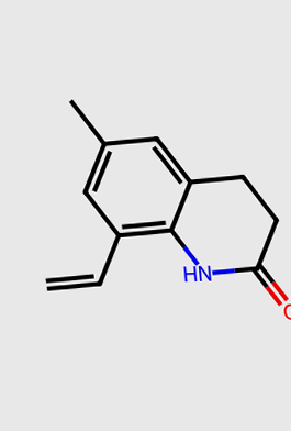 C=Cc1cc(C)cc2c1NC(=O)CC2